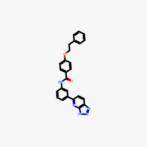 O=C(Nc1cccc(-c2ccc3nn[nH]c3n2)c1)c1ccc(OCCc2ccccc2)cc1